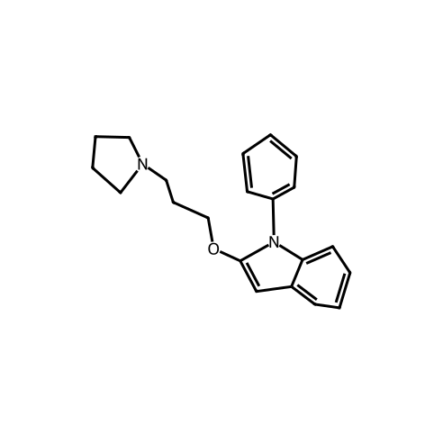 c1ccc(-n2c(OCCCN3CCCC3)cc3ccccc32)cc1